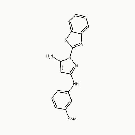 CSc1cccc(Nc2nc(N)n(-c3nc4ccccc4s3)n2)c1